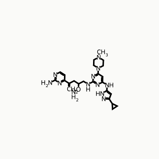 C=C(CC(CNc1nc(Nc2cc(C3CC3)n[nH]2)cc(N2CCN(C)CC2)n1)ON)c1ccnc(N)n1